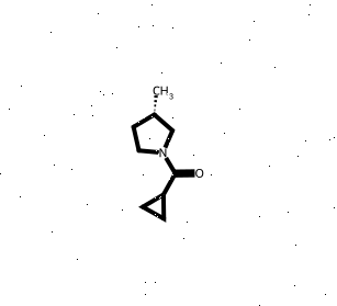 C[C@H]1CCN(C(=O)C2CC2)C1